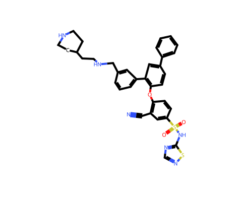 N#Cc1cc(S(=O)(=O)Nc2ncns2)ccc1Oc1ccc(-c2ccccc2)cc1-c1cccc(CNCCC2CCNCC2)c1